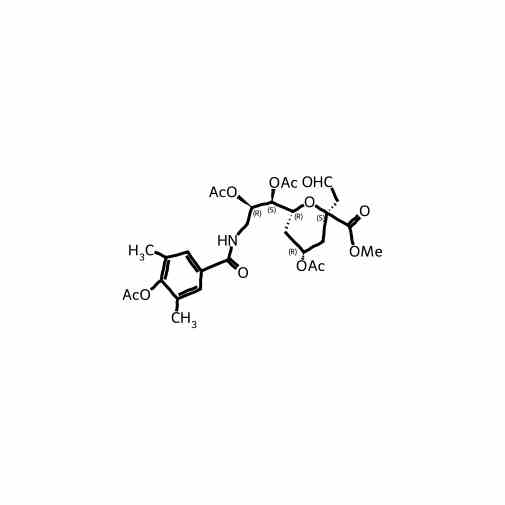 COC(=O)[C@@]1(CC=O)C[C@H](OC(C)=O)C[C@H]([C@H](OC(C)=O)[C@@H](CNC(=O)c2cc(C)c(OC(C)=O)c(C)c2)OC(C)=O)O1